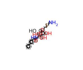 NCCSCCCOC1(C(=O)O)CC(O)CC([C@@H](O)C(O)CNC(=O)Cc2ccc(-c3ccccc3)cc2)O1